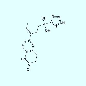 CC=C(CCC(O)(O)c1nc[nH]n1)c1ccc2c(c1)CCC(=O)N2